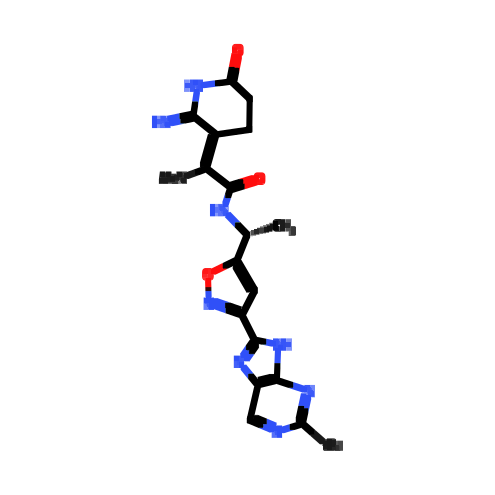 CN/C(C(=O)N[C@H](C)c1cc(-c2nc3cnc(C(C)(C)C)nc3[nH]2)no1)=C1/CCC(=O)NC1=N